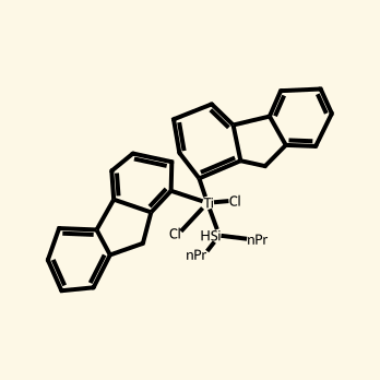 CCC[SiH](CCC)[Ti]([Cl])([Cl])([c]1cccc2c1Cc1ccccc1-2)[c]1cccc2c1Cc1ccccc1-2